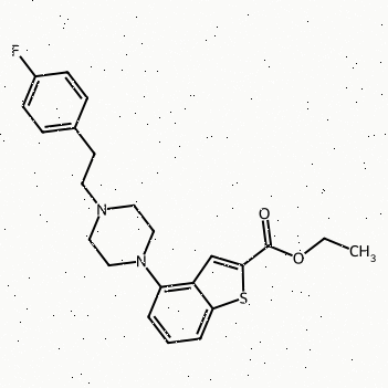 CCOC(=O)c1cc2c(N3CCN(CCc4ccc(F)cc4)CC3)cccc2s1